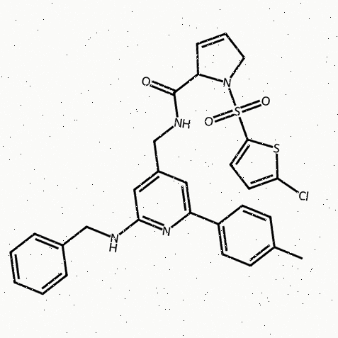 Cc1ccc(-c2cc(CNC(=O)C3C=CCN3S(=O)(=O)c3ccc(Cl)s3)cc(NCc3ccccc3)n2)cc1